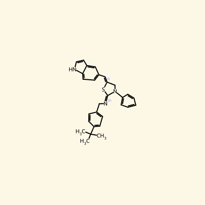 CC(C)(C)c1ccc(C/N=C2\S/C(=C\c3ccc4[nH]ccc4c3)CN2c2ccccc2)cc1